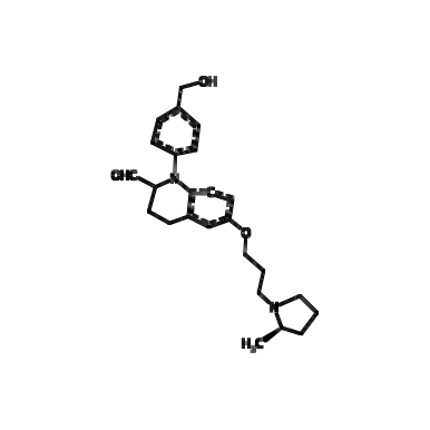 C[C@@H]1CCCN1CCCOc1ccc2c(c1)CCC(C=O)N2c1ccc(CO)cc1